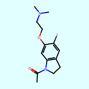 CC(=O)N1CCc2cc(I)c(OCCN(C)C)cc21